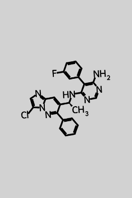 C[C@H](Nc1ncnc(N)c1-c1cccc(F)c1)c1cc2ncc(Cl)n2nc1-c1ccccc1